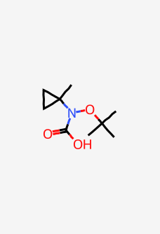 CC(C)(C)ON(C(=O)O)C1(C)CC1